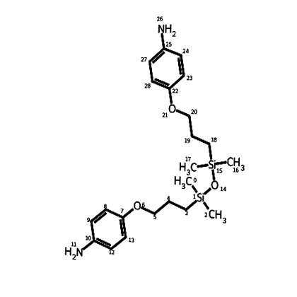 C[Si](C)(CCCOc1ccc(N)cc1)O[Si](C)(C)CCCOc1ccc(N)cc1